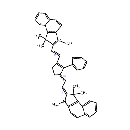 CCCC[N+]1=C(/C=C/C2=C(c3ccccc3)C(=C/C=C3/N(C)c4ccc5ccccc5c4C3(C)C)/CC2)C(C)(C)c2c1ccc1ccccc21